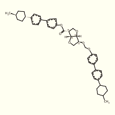 CC1CCC(c2ccc(-c3ccc(OCO[C@H]4CO[C@H]5[C@@H]4OC[C@H]5C(=O)Oc4ccc(-c5ccc([C@H]6CC[C@H](C)CC6)cc5)cc4)cc3)cc2)CC1